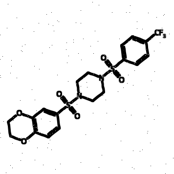 O=S(=O)(c1ccc(C(F)(F)F)cc1)N1CCN(S(=O)(=O)c2ccc3c(c2)OCCO3)CC1